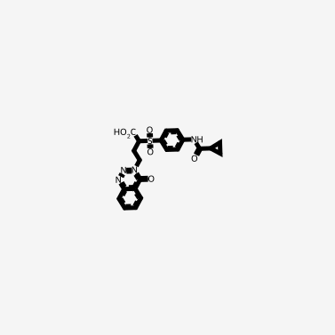 O=C(Nc1ccc(S(=O)(=O)C(CCn2nnc3ccccc3c2=O)C(=O)O)cc1)C1CC1